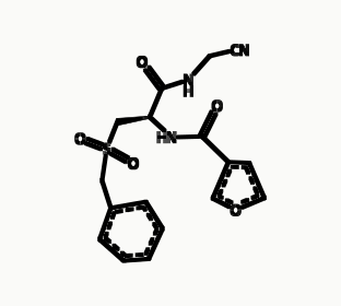 N#CCNC(=O)[C@H](CS(=O)(=O)Cc1ccccc1)NC(=O)c1ccoc1